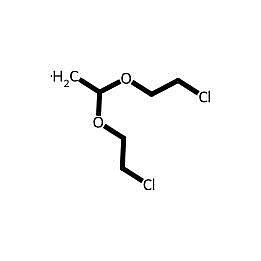 [CH2]C(OCCCl)OCCCl